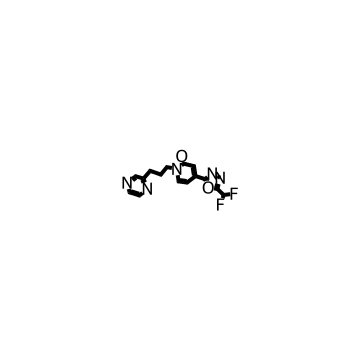 O=c1cc(-c2nnc(C(F)F)o2)ccn1CCCc1cnccn1